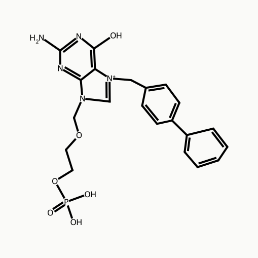 Nc1nc(O)c2c(n1)n(COCCOP(=O)(O)O)c[n+]2Cc1ccc(-c2ccccc2)cc1